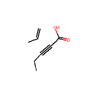 C=CC.CCC#CC(=O)O